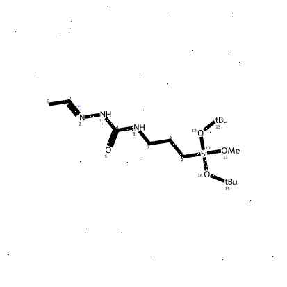 C/C=N/NC(=O)NCCC[Si](OC)(OC(C)(C)C)OC(C)(C)C